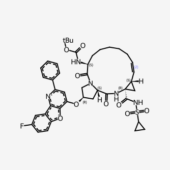 CC(C)(C)OC(=O)N[C@H]1CCCCC/C=C\[C@@H]2C[C@@]2(C(=O)NS(=O)(=O)C2CC2)NC(=O)[C@@H]2C[C@@H](Oc3cc(-c4ccccc4)nc4c3oc3ccc(F)cc34)CN2C1=O